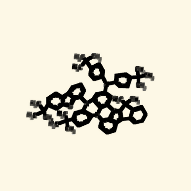 CC(C)(C)c1ccc(N(c2ccc(C(C)(C)C)cc2)c2cc3c4c(c2)-n2c5c(c6cccc(c62)B4c2ccc(C(C)(C)C)cc2N3c2cccc3c2oc2cc(C(C)(C)C)ccc23)C2=CCCC=C2C5(C)C)cc1